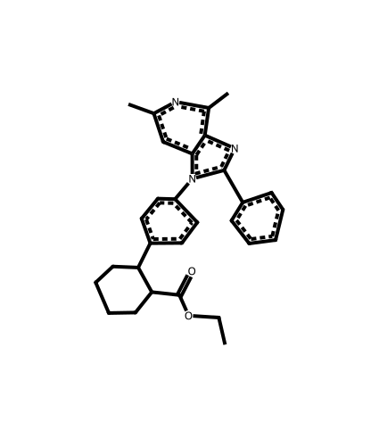 CCOC(=O)C1CCCCC1c1ccc(-n2c(-c3ccccc3)nc3c(C)nc(C)cc32)cc1